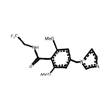 COc1cc(-n2ccnc2)cc(OC)c1C(=O)NCC(F)(F)F